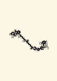 C[C@@H](Oc1cc(-c2cnn(C3CCN(C(=O)CCCCCCC(=O)NCCCCCCCNc4cccc5c4C(=O)N(C4CCC(=O)NC4=O)C5=O)CC3)c2)cnc1N)c1c(Cl)ccc(F)c1Cl